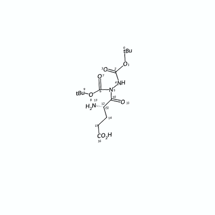 CC(C)(C)OC(=O)NN(C(=O)OC(C)(C)C)C(=O)[C@@H](N)CCC(=O)O